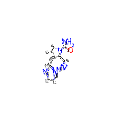 NC(=O)N1CCc2c1cnn1ccnc21